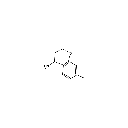 Cc1ccc2c(c1)SCCC2N